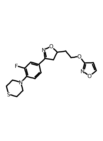 Fc1cc(C2=NOC(CCOc3ccon3)C2)ccc1N1CCSCC1